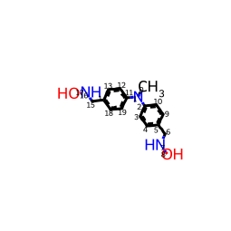 CN(c1ccc(CNO)cc1)c1ccc(CNO)cc1